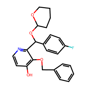 Oc1ccnc(C(OC2CCCCO2)c2ccc(F)cc2)c1OCc1ccccc1